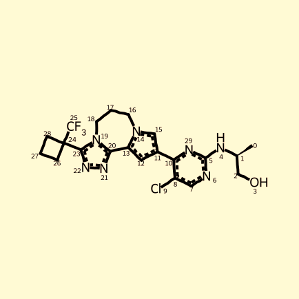 C[C@@H](CO)Nc1ncc(Cl)c(-c2cc3n(c2)CCCn2c-3nnc2C2(C(F)(F)F)CCC2)n1